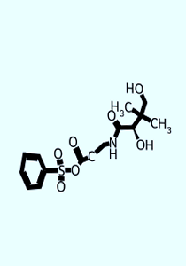 CC(C)(CO)[C@@H](O)C(=O)NCCC(=O)OS(=O)(=O)c1ccccc1